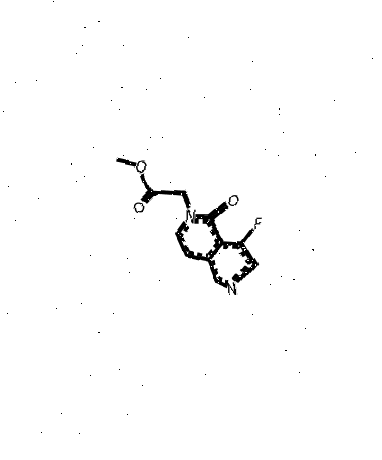 COC(=O)Cn1ccc2cncc(F)c2c1=O